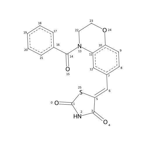 O=C1NC(=O)C(=Cc2ccc3c(c2)N(C(=O)c2ccccc2)CCO3)S1